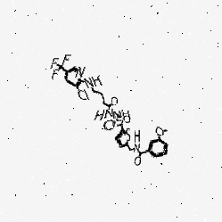 COc1cccc(C(=O)NCc2ccc(S(=O)(=O)NNC(=O)CCCNc3ncc(C(F)(F)F)cc3Cl)s2)c1